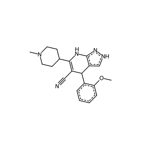 COc1ccccc1C1C(C#N)=C(C2CCN(C)CC2)Nc2n[nH]cc21